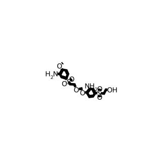 COc1ccc(S(=O)(=O)CCOCOc2ccc(S(=O)(=O)CCO)cc2N)cc1N